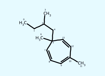 CCC(C)CC1(C)C=CC=C(C)C=C1